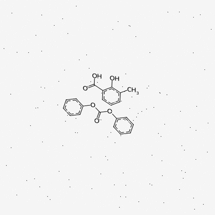 Cc1cccc(C(=O)O)c1O.O=C(Oc1ccccc1)Oc1ccccc1